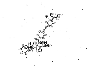 CNC(=O)[C@@](C)(C(=O)NOC1CCCCO1)N(C)C(=O)c1ccc(C#Cc2ccc(C(O)CO)c(F)c2)cc1